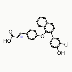 O=C(O)/C=C/c1ccc(Oc2c(-c3ccc(O)c(Cl)c3)ccc3ccccc23)cc1